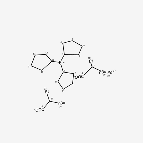 C1CCC(P(C2CCCC2)C2CCCC2)C1.CCCCC(CC)C(=O)[O-].CCCCC(CC)C(=O)[O-].[Pd+2]